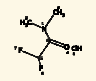 CN(C)C(=O)C(F)F.Cl